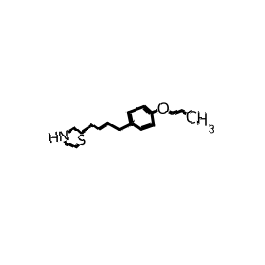 CCCOc1ccc(CCCCC2CNCCS2)cc1